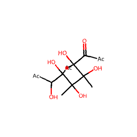 CC(=O)C(=O)C(C)(O)C(C)(O)C(C)(O)C(O)(C(C)=O)C(O)C(C)=O